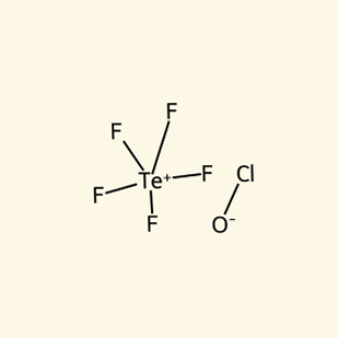 F[Te+](F)(F)(F)F.[O-]Cl